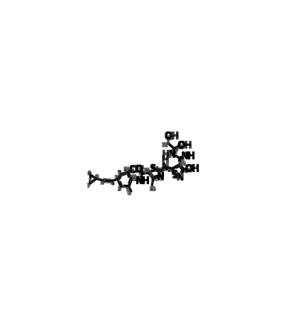 Cc1cc(C#CC2CC2)cc(Cl)c1NC(=O)c1sc(Nc2snc(O)c2C(=N)NC(O)CO)nc1C